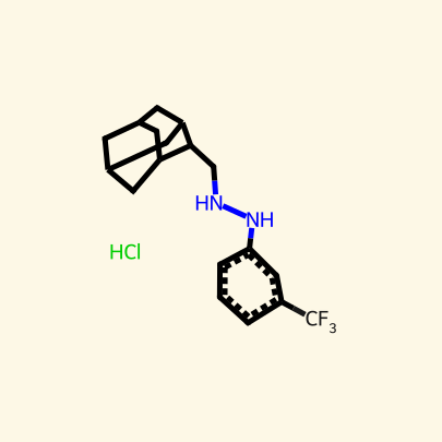 Cl.FC(F)(F)c1cccc(NNCC2C3CC4CC(C3)CC2C4)c1